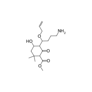 C=CCOC(CCCN)C1C(=O)C(C(=O)OC)C(C)(C)CC1O